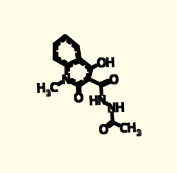 CC(=O)NNC(=O)c1c(O)c2ccccc2n(C)c1=O